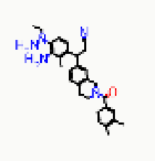 CCN(N)c1ccc(C(CC#N)c2ccc3c(c2)CN(C(=O)c2ccc(C)c(C)c2)CC3)c(C)c1N